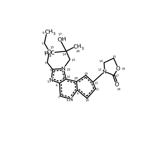 CCOCc1nc2cnc3ccc(N4CCOC4=O)cc3c2n1CC(C)(C)O